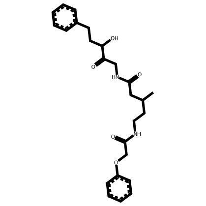 CC(CCNC(=O)COc1ccccc1)CC(=O)NCC(=O)C(O)CCc1ccccc1